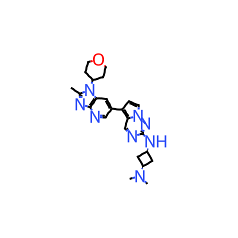 Cc1nc2ncc(-c3ccn4nc(N[C@H]5C[C@@H](N(C)C)C5)ncc34)cc2n1C1CCOCC1